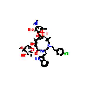 CO[C@]1(C)C[C@H](O[C@H]2[C@H](C)[C@@H](O[C@@H]3O[C@H](C)C[C@H](N(C)C)[C@H]3O)[C@](C)(O)C[C@@H](C)CN(CCc3ccc(Cl)cc3)CC(Cc3c[nH]c4ccccc34)NC(=O)[C@@H]2C)O[C@@H](C)[C@@H]1O